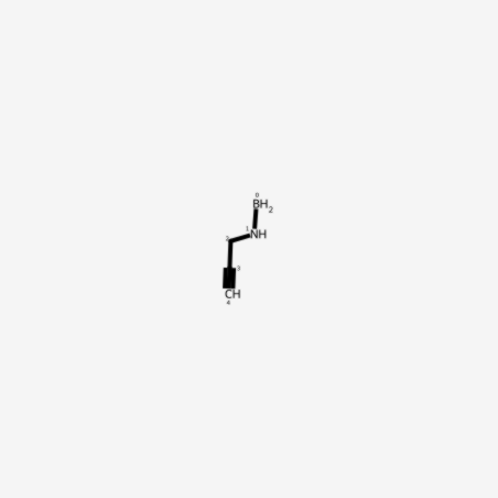 BNCC#C